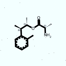 Cc1ccccc1[C@@H](C)[C@H](C)OC(=O)[C@H](C)N